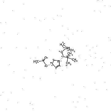 CC(=O)O[C@H]1C=C[C@@H](C(O[SiH](C)C)C(C)(C)C)C1